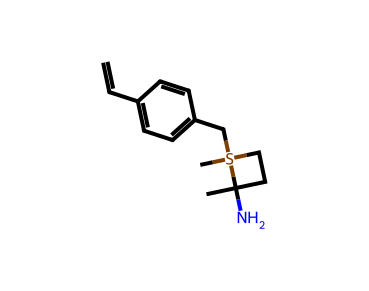 C=Cc1ccc(CS2(C)CCC2(C)N)cc1